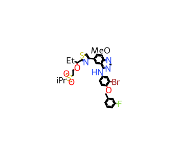 CCC(OCCS(=O)(=O)C(C)C)c1nc(-c2cc3c(Nc4ccc(OCc5cccc(F)c5)c(Br)c4)ncnc3cc2OC)cs1